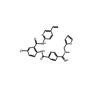 C=Cc1ccc(NC(=O)c2cc(Cl)ccc2NC(=O)c2ccc(C(=N)N(C)Cc3ccco3)cc2)nc1